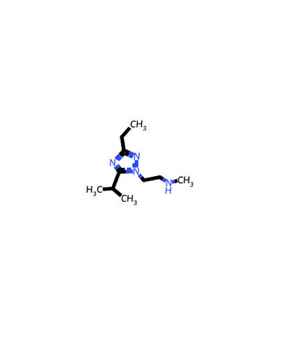 CCc1nc(C(C)C)n(CCNC)n1